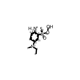 CCN(C)c1ccc(N)c(S(=O)(=S)OO)c1